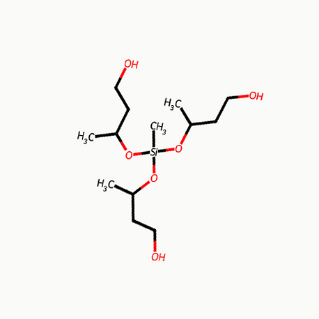 CC(CCO)O[Si](C)(OC(C)CCO)OC(C)CCO